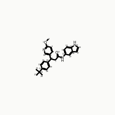 COc1ccc(C(CC(=O)Nc2ccc3[nH]ccc3c2)c2ccc(C(C)(C)C)cc2)cn1